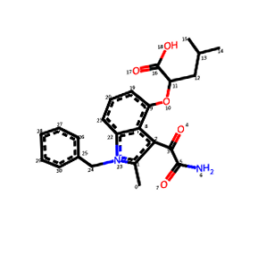 Cc1c(C(=O)C(N)=O)c2c(OC(CC(C)C)C(=O)O)cccc2n1Cc1ccccc1